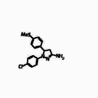 CSc1ccc(C2CC(N)=NN2c2ccc(Cl)cc2)cc1